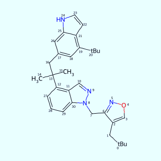 CC(C)(C)Cc1conc1Cn1ncc2c(C(C)(C)Cc3cc(C(C)(C)C)c4cc[nH]c4c3)cccc21